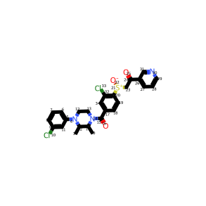 CC1C(C)N(c2cccc(Cl)c2)CCN1C(=O)c1ccc([S+]([O-])CC(=O)c2cccnc2)c(Cl)c1